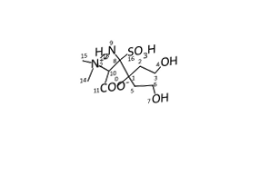 CC(CCO)(CCO)C(N)(C(C(=O)[O-])[N+](C)(C)C)S(=O)(=O)O